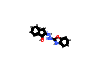 O=C1/C(=N\Nc2nc3ccccc3o2)Cc2ccccc21